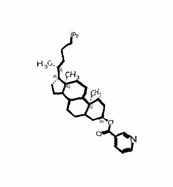 CC(C)CCC[C@@H](C)[C@H]1CCC2C3CCC4C[C@H](OC(=O)c5cccnc5)CC[C@]4(C)C3CC[C@@]21C